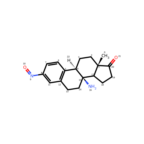 C[C@]12CC[C@@H]3c4ccc(N=O)cc4CC[C@@]3(N)C1CCC2=O